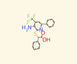 Nc1c(C(F)(F)F)cc(-c2ccccc2)nc1SC(C(=O)O)c1ccccc1